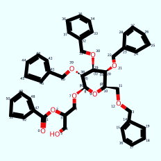 O=C(OC(CO)CO[C@@H]1O[C@H](COCc2ccccc2)[C@H](OCc2ccccc2)[C@H](OCc2ccccc2)[C@H]1OCc1ccccc1)c1ccccc1